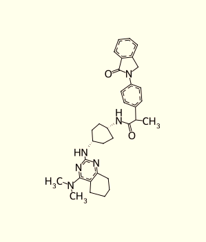 CC(C(=O)N[C@H]1CC[C@@H](Nc2nc3c(c(N(C)C)n2)CCCC3)CC1)c1ccc(N2Cc3ccccc3C2=O)cc1